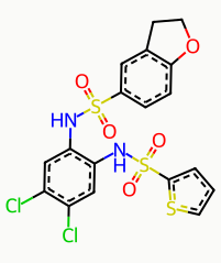 O=S(=O)(Nc1cc(Cl)c(Cl)cc1NS(=O)(=O)c1cccs1)c1ccc2c(c1)CCO2